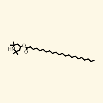 CCCCCCCCCCCCCCCCCCCCCC(=O)OC1CC(C)(C)NC(C)(C)C1